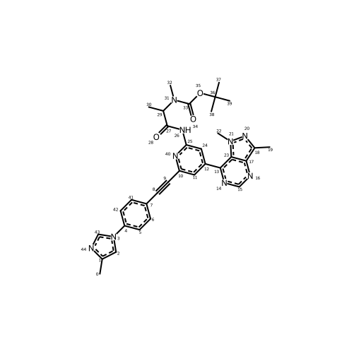 Cc1cn(-c2ccc(C#Cc3cc(-c4ncnc5c(C)nn(C)c45)cc(NC(=O)C(C)N(C)C(=O)OC(C)(C)C)n3)cc2)cn1